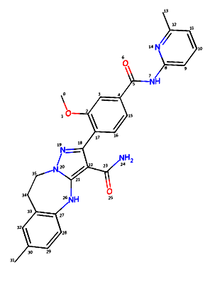 COc1cc(C(=O)Nc2cccc(C)n2)ccc1-c1nn2c(c1C(N)=O)Nc1ccc(C)cc1CC2